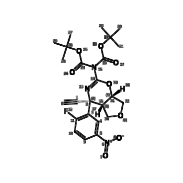 C#C[C@]1(c2cc([N+](=O)[O-])ccc2F)N=C(N(C(=O)OC(C)(C)C)C(=O)OC(C)(C)C)O[C@@H]2COC[C@@H]21